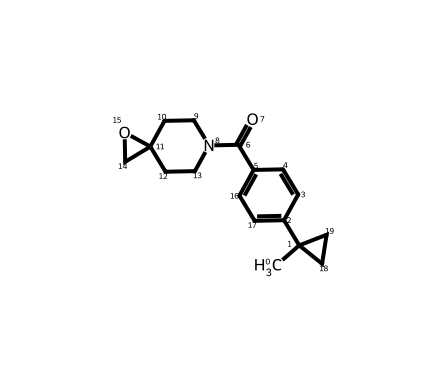 CC1(c2ccc(C(=O)N3CCC4(CC3)CO4)cc2)CC1